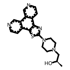 C[C@@H](O)CN1CCN(c2nc3c4ccncc4c4cnccc4c3s2)CC1